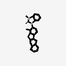 Cc1c(N2c3ccccc3N(C)[C@@H]2C)ccc2c1Cc1cc3ccccc3cc1-2